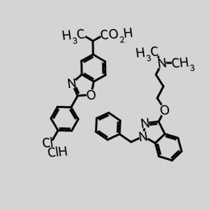 CC(C(=O)O)c1ccc2oc(-c3ccc(Cl)cc3)nc2c1.CN(C)CCCOc1nn(Cc2ccccc2)c2ccccc12.Cl